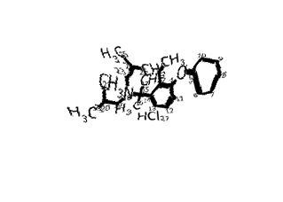 CCc1c(Oc2ccccc2)cccc1C(C)(C)N(CC(C)C)CC(C)C.Cl